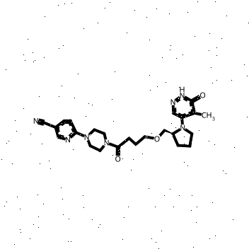 Cc1c(N2CCC[C@H]2COCCCC(=O)N2CCN(c3ccc(C#N)cn3)CC2)cn[nH]c1=O